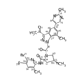 CC(=O)c1nn(CC(=O)N2C[C@@H](C)C[C@H]2C(=O)Nc2nc(Br)c(F)cc2C)c2c(C)cc(-c3cnc(C)nc3)cc12